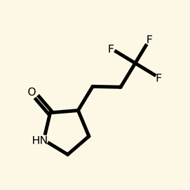 O=C1NCCC1CCC(F)(F)F